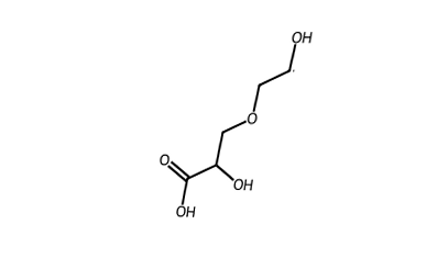 O=C(O)C(O)COC[CH]O